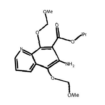 COCOc1c(N)c(C(=O)OC(C)C)c(OCOC)c2ncccc12